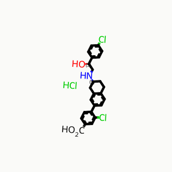 Cl.O=C(O)c1ccc(-c2ccc3c(c2)C[C@@H](NC[C@@H](O)c2ccc(Cl)cc2)CC3)c(Cl)c1